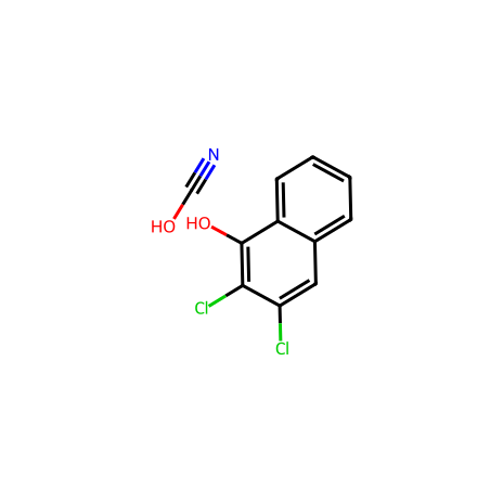 N#CO.Oc1c(Cl)c(Cl)cc2ccccc12